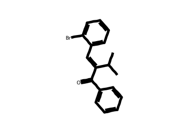 CC(C)C(=Cc1ccccc1Br)C(=O)c1ccccc1